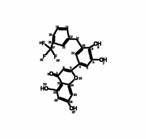 O=c1cc(-c2cc(O)c(O)c(Cc3cccc(C(F)(F)F)c3)c2)oc2cc(O)cc(O)c12